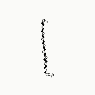 C=CCOCCOCCOCCOCCOCCOCCOCCOCC(=O)O